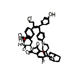 O=C1CCC(N2C(=O)c3cc(F)c(N4CC5CCC(C4)N5CC4CCN(c5ccc(C(=C(CCCl)c6ccc(O)cc6)c6ccc(O)cc6)cc5)CC4)cc3C2=O)C(=O)N1